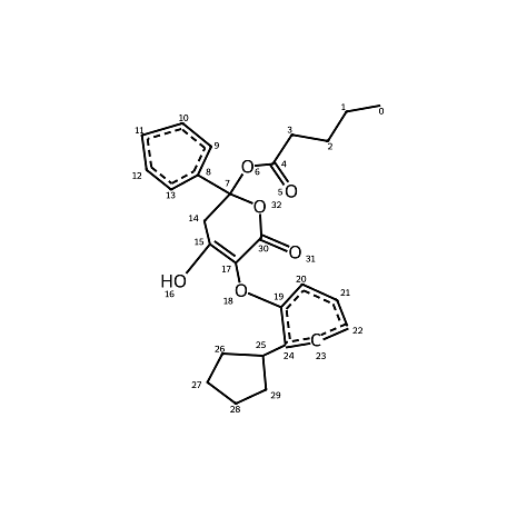 CCCCC(=O)OC1(c2ccccc2)CC(O)=C(Oc2ccccc2C2CCCC2)C(=O)O1